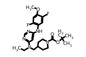 CCN(CC1CCN(C(=O)OC(C)(C)C)CC1)c1cc(Nc2cc(F)c(OC)cc2F)ncn1